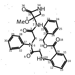 COC1(NC(=O)CN(C(=O)CNc2ccccc2C(=O)OCc2ccccc2)c2ccccc2)CNC1=O